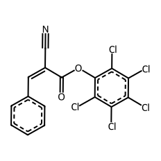 N#CC(=Cc1ccccc1)C(=O)Oc1c(Cl)c(Cl)c(Cl)c(Cl)c1Cl